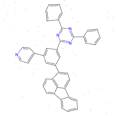 c1ccc(-c2nc(-c3ccccc3)nc(-c3cc(-c4ccncc4)cc(-c4ccc5c6c(cccc46)-c4ccccc4-5)c3)n2)cc1